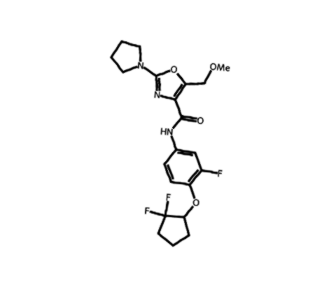 COCc1oc(N2CCCC2)nc1C(=O)Nc1ccc(OC2CCCC2(F)F)c(F)c1